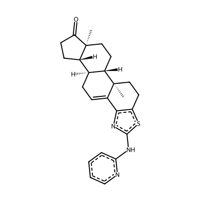 C[C@]12CCc3sc(Nc4ccccn4)nc3C1=CC[C@@H]1[C@@H]2CC[C@]2(C)C(=O)CC[C@@H]12